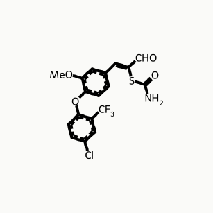 COc1cc(/C=C(/C=O)SC(N)=O)ccc1Oc1ccc(Cl)cc1C(F)(F)F